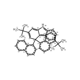 CC(C)(C)C1=CC(c2cccc3ccccc23)(c2cccc3ccccc23)C2=c3cc(C(C)(C)C)ccc3=[SiH]C2=C1